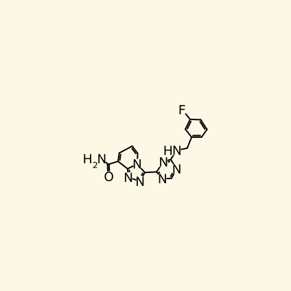 NC(=O)c1cccn2c(-c3ncnc(NCc4cccc(F)c4)n3)nnc12